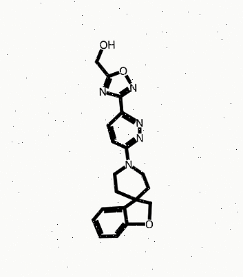 OCc1nc(-c2ccc(N3CCC4(CC3)COc3ccccc34)nn2)no1